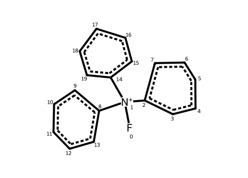 F[N+](c1ccccc1)(c1ccccc1)c1ccccc1